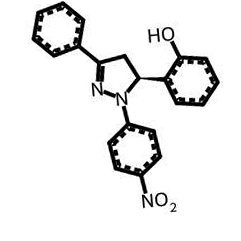 O=[N+]([O-])c1ccc(N2N=C(c3ccccc3)C[C@H]2c2ccccc2O)cc1